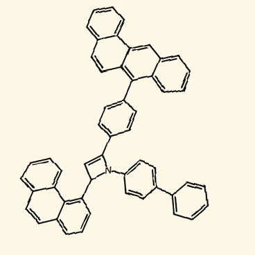 C1=C(c2ccc(-c3c4ccccc4cc4c3ccc3ccccc34)cc2)N(c2ccc(-c3ccccc3)cc2)C1c1cccc2ccc3ccccc3c12